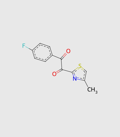 Cc1csc(C(=O)C(=O)c2ccc(F)cc2)n1